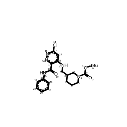 CC(C)(C)OC(=O)N1CCCC(CNc2cc(Cl)nnc2C(=O)Nc2ccccc2)C1